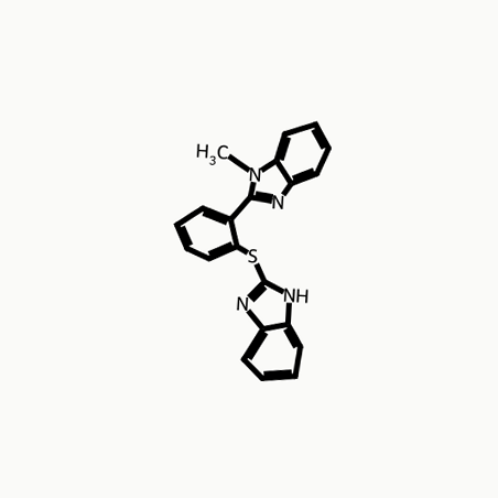 Cn1c(-c2ccccc2Sc2nc3ccccc3[nH]2)nc2ccccc21